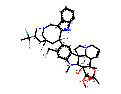 CC[C@]12C=CCN3CC[C@@]4(c5cc([C@@]6(C)C[C@@H]7C[C@H](C(C)(F)F)C[N@](Cc8c6[nH]c6ccccc86)C7)c(CO)cc5N(C)C4[C@@](O)(C(=O)OC)[C@@H]1OC(C)=O)[C@@H]32